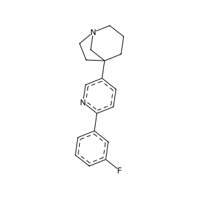 Fc1cccc(-c2ccc(C34CCCN(CC3)C4)cn2)c1